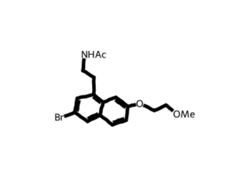 COCCOc1ccc2cc(Br)cc(CCNC(C)=O)c2c1